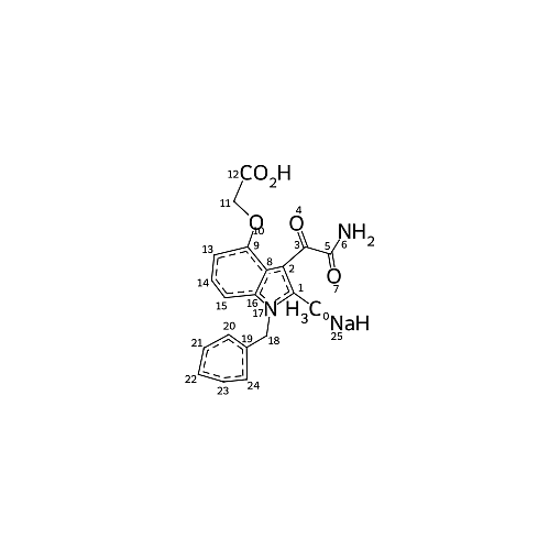 Cc1c(C(=O)C(N)=O)c2c(OCC(=O)O)cccc2n1Cc1ccccc1.[NaH]